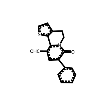 O=Cc1cc(-c2ccccc2)c(=O)n2c1-c1sccc1CC2